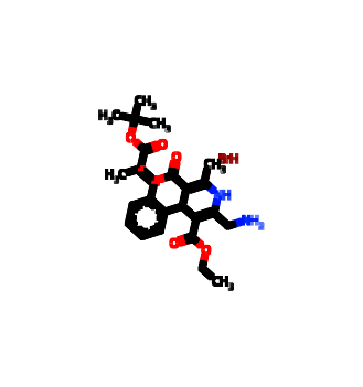 Br.CCOC(=O)C1=C(C)NC(CN)=C(C(=O)OCC)C1c1ccccc1C=CC(=O)OC(C)(C)C